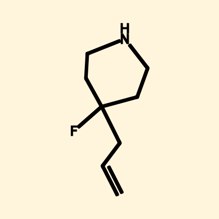 C=CCC1(F)CCNCC1